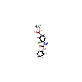 COC(=O)c1ccc(NC(=O)Oc2ccccc2)c(F)c1